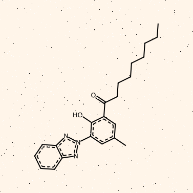 CCCCCCCCC(=O)c1cc(C)cc(-n2nc3ccccc3n2)c1O